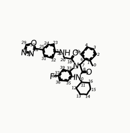 Cc1ccccc1C(C(=O)NC1CCCCC1)N(C(=O)CNc1ccc(-c2nnco2)cc1)c1cccc(F)c1